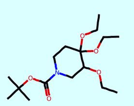 CCOC1CN(C(=O)OC(C)(C)C)CCC1(OCC)OCC